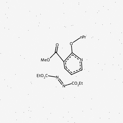 CCCOc1ncccc1C(=O)OC.CCOC(=O)N=NC(=O)OCC